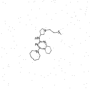 CSCCN1CCC(Nc2nc3c(c(N4CCCCCC4)n2)CCCC3)C1